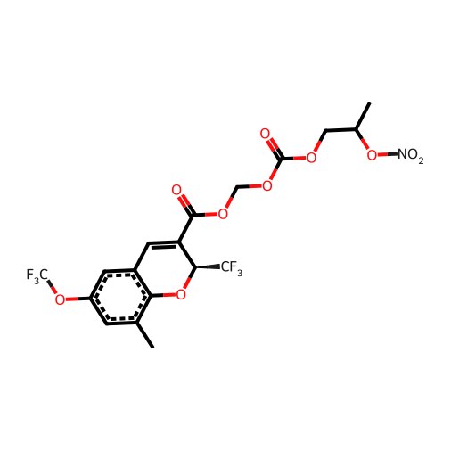 Cc1cc(OC(F)(F)F)cc2c1O[C@H](C(F)(F)F)C(C(=O)OCOC(=O)OCC(C)O[N+](=O)[O-])=C2